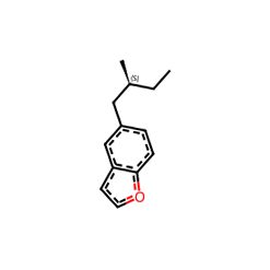 CC[C@H](C)Cc1ccc2occc2c1